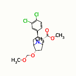 COCO[C@H]1CC2[C@@H](C(=O)OC)[C@H](c3ccc(Cl)c(Cl)c3)CC1N2C